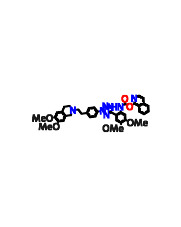 COc1cc2c(cc1OC)CN(CCc1ccc(-n3nnc(-c4cc(OC)c(OC)cc4NC(=O)Oc4nccc5ccccc45)n3)cc1)CC2